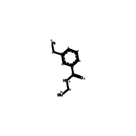 CC(C)Cc1cccc(C(=O)NCC(C)(C)C)c1